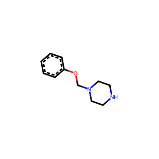 c1ccc(OCN2CCNCC2)cc1